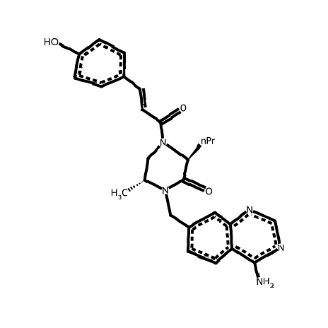 CCC[C@H]1C(=O)N(Cc2ccc3c(N)ncnc3c2)[C@H](C)CN1C(=O)C=Cc1ccc(O)cc1